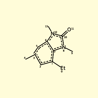 CCc1cc(C)cc2c1n(C)c(=O)n2C